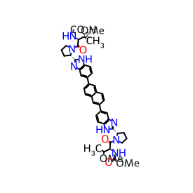 COC(=O)N[C@H](C(=O)N1CCC[C@H]1c1nc2cc(-c3ccc4cc(-c5ccc6[nH]c([C@@H]7CCCN7C(=O)[C@@H](NC(=O)O)[C@@H](C)OC)nc6c5)ccc4c3)ccc2[nH]1)C(C)OC